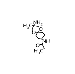 CCC(=O)NC1CCC2(CC1)OCC(C)(N)CO2